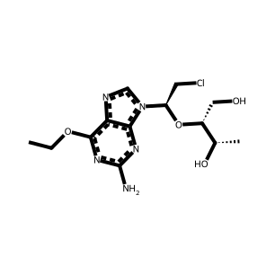 CCOc1nc(N)nc2c1ncn2[C@@H](CCl)O[C@H](CO)[C@H](C)O